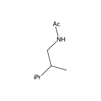 CC(=O)NCC(C)C(C)C